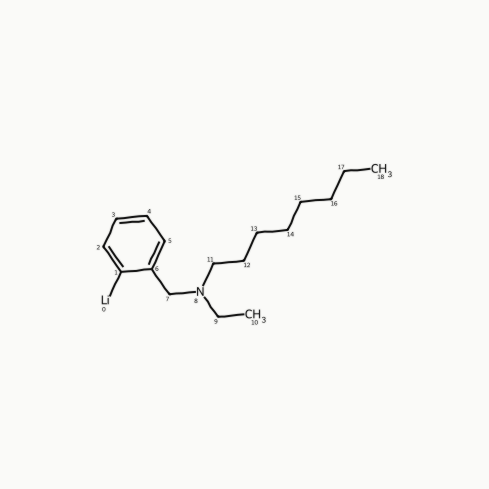 [Li][c]1ccccc1CN(CC)CCCCCCCC